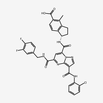 Cc1c(C(=O)O)ccc2c1CC[C@@H]2NC(=O)c1cc(C(=O)NCc2ccc(F)c(F)c2)nc2c(C(=O)Nc3ccccc3Cl)cnn12